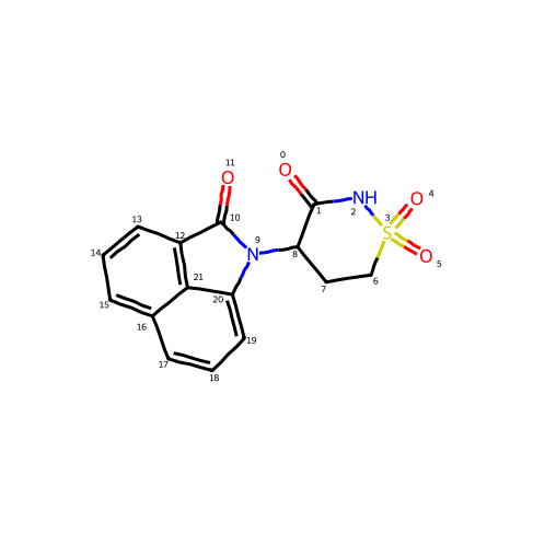 O=C1NS(=O)(=O)CCC1N1C(=O)c2cccc3cccc1c23